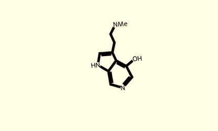 CNCCc1c[nH]c2cncc(O)c12